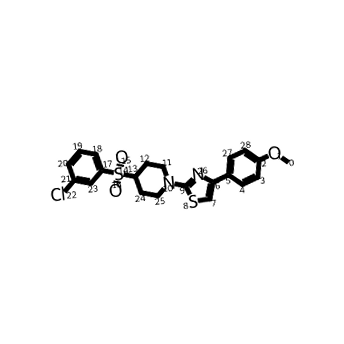 COc1ccc(-c2csc(N3CCC(S(=O)(=O)c4cccc(Cl)c4)CC3)n2)cc1